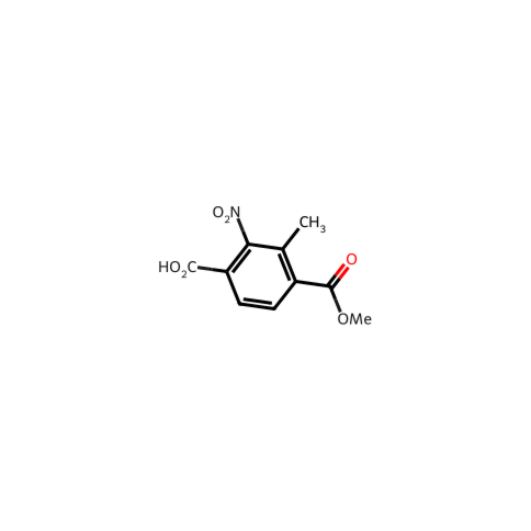 COC(=O)c1ccc(C(=O)O)c([N+](=O)[O-])c1C